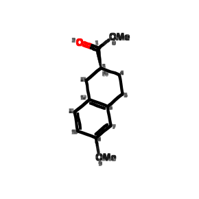 COC(=O)[C@H]1CCc2cc(OC)ccc2C1